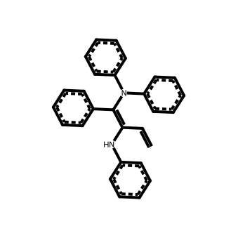 C=CC(Nc1ccccc1)=C(c1ccccc1)N(c1ccccc1)c1ccccc1